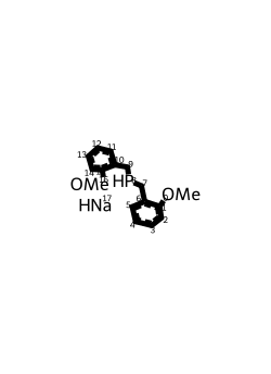 COc1ccccc1CPCc1ccccc1OC.[NaH]